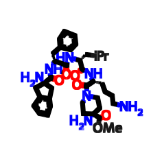 COC(=O)C1(N)CCN(C(=O)[C@@H](CCCCN)NC(=O)[C@@H](CC(C)C)NC(=O)[C@@H](Cc2ccccc2)NC(=O)C2(N)Cc3ccccc3C2)CC1